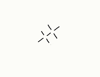 CCC[Si](C)(CCC)[Si](C)(C)C